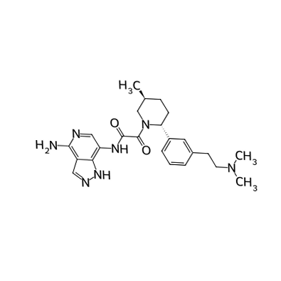 C[C@H]1CC[C@H](c2cccc(CCN(C)C)c2)N(C(=O)C(=O)Nc2cnc(N)c3cn[nH]c23)C1